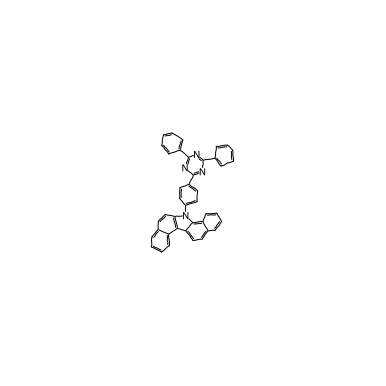 c1ccc(-c2nc(-c3ccccc3)nc(-c3ccc(-n4c5ccc6ccccc6c5c5ccc6ccccc6c54)cc3)n2)cc1